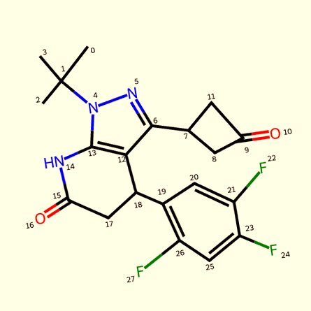 CC(C)(C)n1nc(C2CC(=O)C2)c2c1NC(=O)CC2c1cc(F)c(F)cc1F